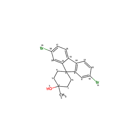 CC1(O)CCC2(CC1)c1cc(Br)ccc1-c1ccc(Br)cc12